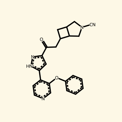 N#CN1CC2CC(CC(=O)c3cc(-c4ccncc4Oc4ccccc4)[nH]n3)C2C1